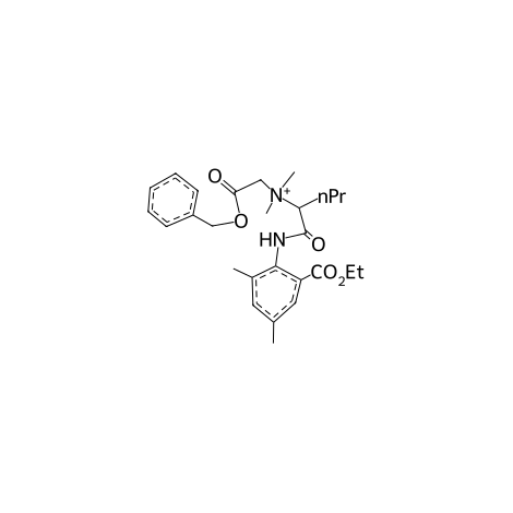 CCCC(C(=O)Nc1c(C)cc(C)cc1C(=O)OCC)[N+](C)(C)CC(=O)OCc1ccccc1